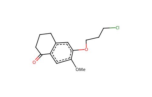 COc1cc2c(cc1OCCCCl)CCCC2=O